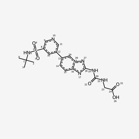 CC(C)(C)NS(=O)(=O)c1cncc(-c2ccc3nc(NC(=O)NCC(=O)O)nn3c2)c1